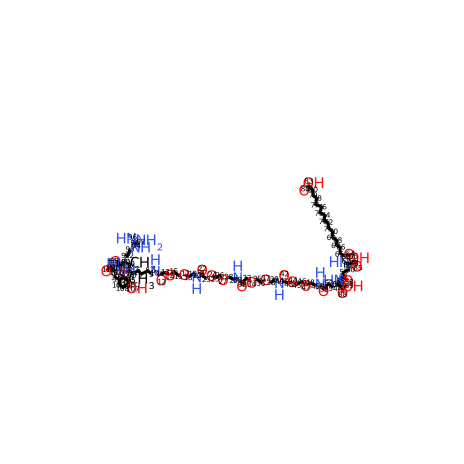 CC(C(=O)[C@@H](C)CCCCNC(=O)COCCOCCNC(=O)COCCOCCNC(=O)COCCOCCNC(=O)COCCOCCNC(=O)CC[C@H](NC(=O)CC[C@H](NC(=O)CCCCCCCCCCCCCCCCC(=O)O)C(=O)O)C(=O)O)[C@@H](CCCNC(=N)N)C(=O)N[C@@H](Cc1ccc(O)cc1)C(N)=O